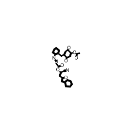 CC(=O)OC1=CC(=O)C(Cc2ccccc2/N=N/CC(=O)O/C(C#N)=C/c2cc3ccccc3o2)=CC1=O